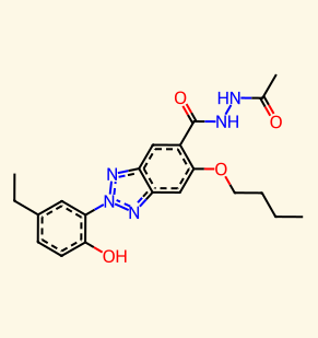 CCCCOc1cc2nn(-c3cc(CC)ccc3O)nc2cc1C(=O)NNC(C)=O